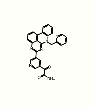 NC(=O)C(=O)c1cncc(-c2nc(NCc3ccccn3)c3c(-c4ccccc4)cccc3n2)c1